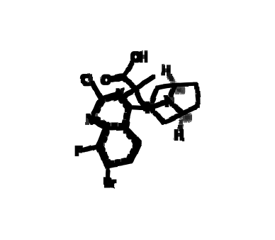 CC(C)(CN1[C@@H]2CC[C@H]1CN(c1nc(Cl)nc3c(F)c(Br)ccc13)C2)C(=O)O